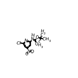 CC(C)(C)OC(=O)Nc1cc([N+](=O)[O-])cc(Cl)n1